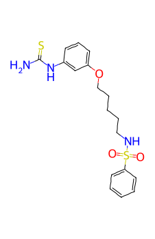 NC(=S)Nc1cccc(OCCCCCNS(=O)(=O)c2ccccc2)c1